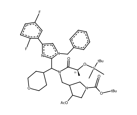 CC(=O)OC1CN(C(=O)OC(C)(C)C)CC1CN(C(=O)[C@H](C)O[Si](C)(C)C(C)(C)C)C(c1nc(-c2cc(F)ccc2F)cn1Cc1ccccc1)C1CCOCC1